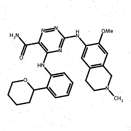 COc1cc2c(cc1Nc1nnc(C(N)=O)c(Nc3ccccc3C3CCCCO3)n1)CCN(C)C2